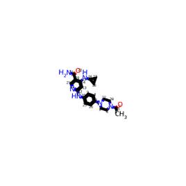 CC(=O)N1CCN(c2ccc(Nc3cc(NC4CC4)c(C(N)=O)cn3)cc2)CC1